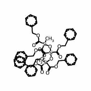 C[Si](O[Si](O[Si](C)(C(=O)OCc1ccccc1)C(=O)OCc1ccccc1)(C(=O)OCc1ccccc1)C(=O)OCc1ccccc1)(C(=O)OCc1ccccc1)C(=O)OCc1ccccc1